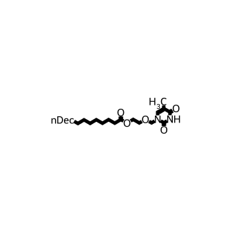 CCCCCCCCCCCCCCCCCC(=O)OCCOCn1cc(C)c(=O)[nH]c1=O